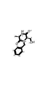 C[C@H]1NC(=O)[C@@H](CO)N(Cc2ccccc2)C1=O